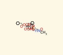 CC(=O)NCCCS(=O)(=O)OC(c1ccccc1)C(C)(C)[C@@](O)(COC(=O)Cc1ccccc1)C(=O)O